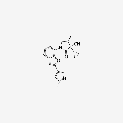 C[C@@H]1CN(c2ccnc3cc(-c4cnn(C)c4)oc23)C(=O)[C@]1(C#N)C1CC1